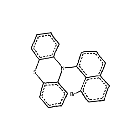 Brc1cccc2cccc(N3c4ccccc4Sc4ccccc43)c12